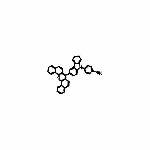 N#Cc1ccc(-n2c3ccccc3c3cc(-c4c5ccc6ccccc6c5nc5c4ccc4ccccc45)ccc32)cc1